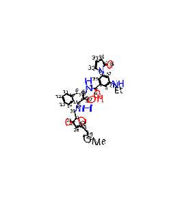 CCNc1cc(C(=O)N[C@@H](Cc2ccccc2)[C@H](O)CNCC2OC(COC)=CC2=O)cc(N2CCCC2=O)c1